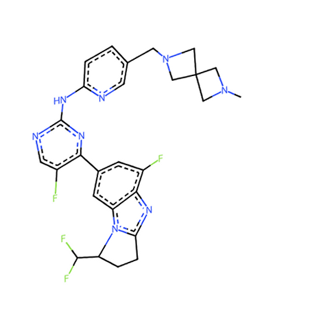 CN1CC2(C1)CN(Cc1ccc(Nc3ncc(F)c(-c4cc(F)c5nc6n(c5c4)C(C(F)F)CC6)n3)nc1)C2